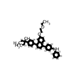 CCOCCOc1ccc2c(-c3ccc(Nc4ccccc4)cc3)ccc(-c3ccc(C(C)(CC)CC)cc3)c2c1